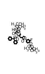 CC(C)(C)OC(=O)N[C@@H]1C(=O)N2[C@@H](C(=O)OC(c3ccccc3)c3ccccc3)C(/C=C3\CCN(c4ccc(OC(=O)OC(C)(C)C)c(F)c4)C3=O)=CS[C@H]12